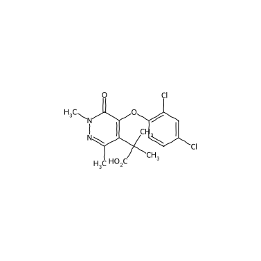 Cc1nn(C)c(=O)c(Oc2ccc(Cl)cc2Cl)c1C(C)(C)C(=O)O